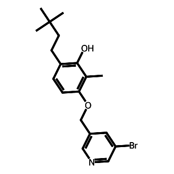 Cc1c(OCc2cncc(Br)c2)ccc(CCC(C)(C)C)c1O